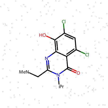 CNCc1nc2c(O)c(Cl)cc(Cl)c2c(=O)n1C(C)C